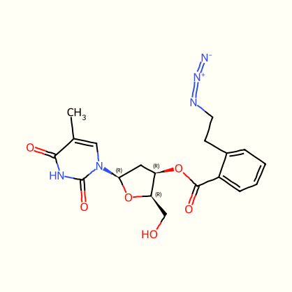 Cc1cn([C@H]2C[C@@H](OC(=O)c3ccccc3CCN=[N+]=[N-])[C@@H](CO)O2)c(=O)[nH]c1=O